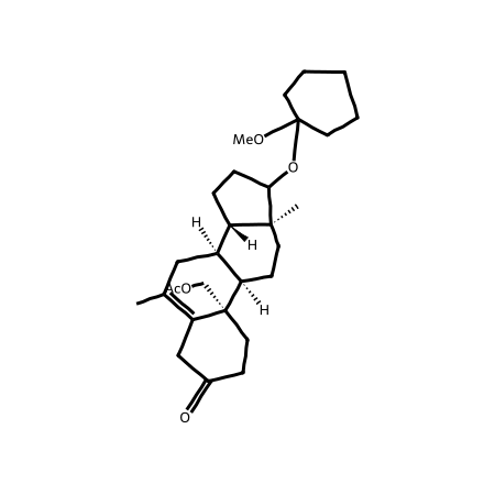 COC1(OC2CC[C@H]3[C@@H]4CC(C)=C5CC(=O)CC[C@]5(COC(C)=O)[C@@H]4CC[C@]23C)CCCCC1